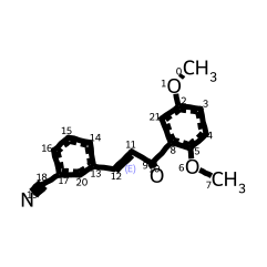 COc1ccc(OC)c(C(=O)/C=C/c2cccc(C#N)c2)c1